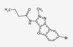 CCCC(=O)Nc1c2oc3ccc(Br)cc3c2nn1C